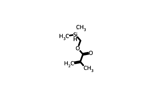 C=C(C)C(=O)OC[SiH](C)C